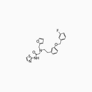 O=C(CN(CCc1cccc(OCc2cccc(F)c2)c1)Cc1ccco1)Nc1nccs1